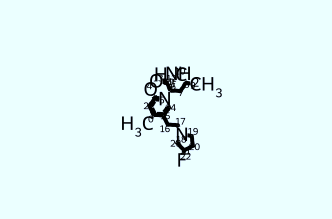 Cc1cc(=O)n(C(CC(C)C)C(N)=O)cc1CCN1CCC(F)C1